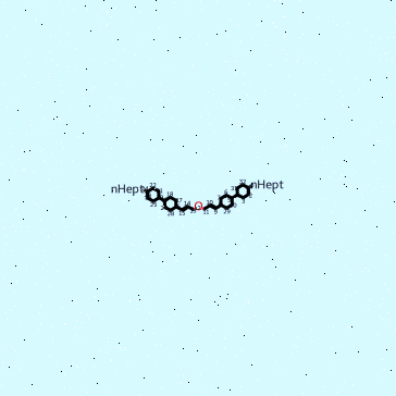 CCCCCCCC1CCC(C2CCC(C=CCOCC=CC3CCC(C4CCC(CCCCCCC)CC4)CC3)CC2)CC1